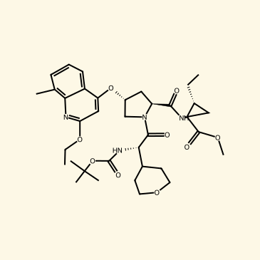 CCOc1cc(O[C@@H]2C[C@@H](C(=O)N[C@]3(C(=O)OC)C[C@H]3CC)N(C(=O)[C@@H](NC(=O)OC(C)(C)C)C3CCOCC3)C2)c2cccc(C)c2n1